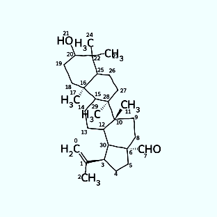 C=C(C)[C@@H]1CC[C@]2(C=O)CC[C@]3(C)C(CCC4[C@@]5(C)CCC(O)C(C)(C)C5CC[C@]43C)C12